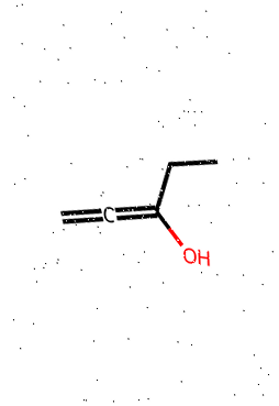 C=C=C(O)CC